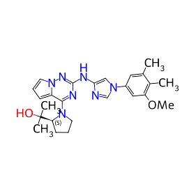 COc1cc(-n2cnc(Nc3nc(N4CCC[C@H]4C(C)(C)O)c4cccn4n3)c2)cc(C)c1C